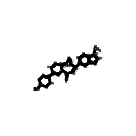 CCN1CC=C(C2=CN3C(=O)\C=C(c4ccc5c(cnn5C)c4)/C=C/C=C/3C=N2)CC1